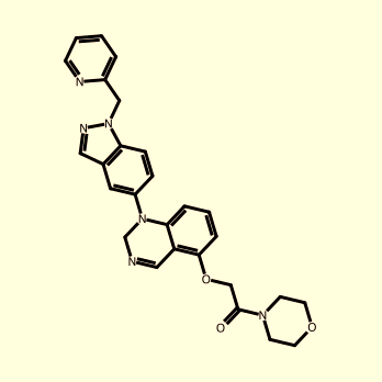 O=C(COc1cccc2c1C=NCN2c1ccc2c(cnn2Cc2ccccn2)c1)N1CCOCC1